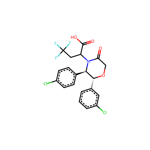 O=C(O)C(CC(F)(F)F)N1C(=O)CO[C@H](c2cccc(Cl)c2)[C@H]1c1ccc(Cl)cc1